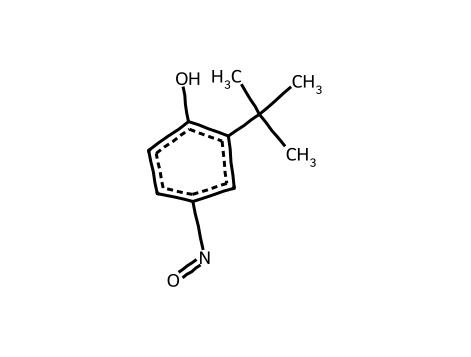 CC(C)(C)c1cc(N=O)ccc1O